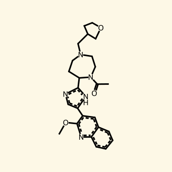 COc1nc2ccccc2cc1-c1cnc(C2CCN(CC3CCOC3)CCN2C(C)=O)[nH]1